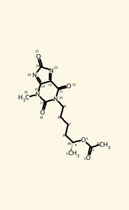 CC(=O)O[C@H](C)CCCCn1c(=O)c2c(n(C)c1=O)=NC(=O)N=2